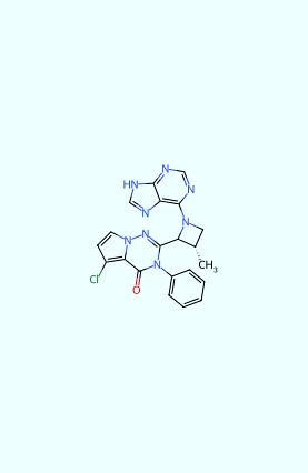 C[C@H]1CN(c2ncnc3[nH]cnc23)C1c1nn2ccc(Cl)c2c(=O)n1-c1ccccc1